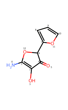 NC1=C(O)C(=O)C(c2ccco2)O1